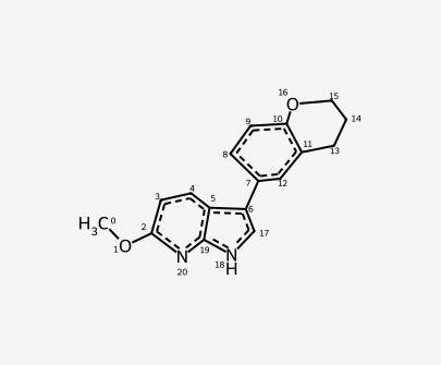 COc1ccc2c(-c3ccc4c(c3)CCCO4)c[nH]c2n1